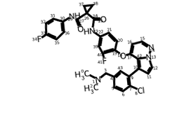 CN(C)Cc1ccc(Cl)c(-c2ccn3nccc(Oc4ccc(NC(=O)C5(C(=O)Nc6ccc(F)cc6)CC5)cc4F)c23)c1